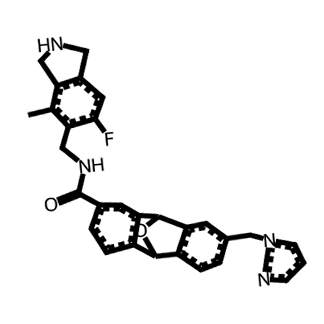 Cc1c(CNC(=O)c2ccc3c(c2)C2OC3c3ccc(Cn4cccn4)cc32)c(F)cc2c1CNC2